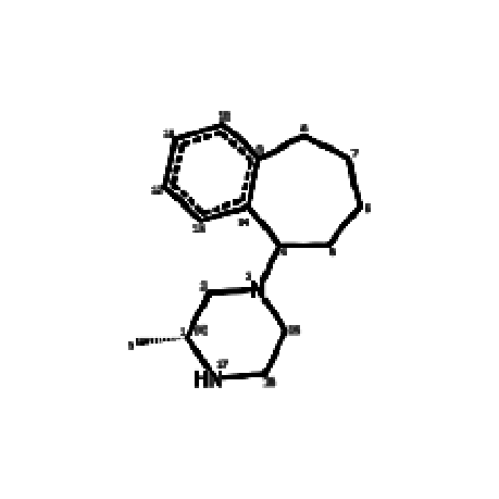 C[C@@H]1CN(C2CCCCc3ccccc32)CCN1